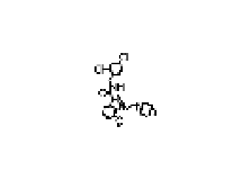 COc1cccc2c(C(=O)NCc3ccc(Cl)cc3Cl)nn(CCN3CCOCC3)c12